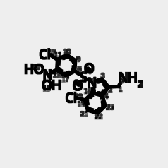 NCc1cn(S(=O)(=O)c2ccc(Cl)c(N(O)O)c2)c2c(Cl)cccc12